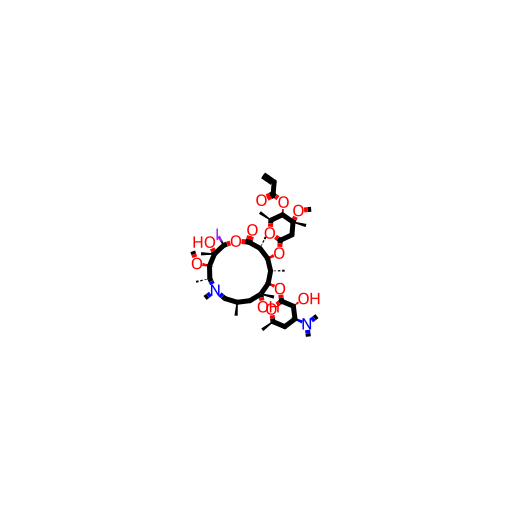 C=CC(=O)O[C@H]1[C@H](C)OC(O[C@H]2[C@H](C)[C@@H](OC3O[C@H](C)C[C@H](N(C)C)[C@H]3O)[C@](C)(O)C[C@@H](C)CN(C)[C@H](C)[C@@H](OC)[C@](C)(O)[C@@H](I)OC(=O)[C@@H]2C)C[C@@]1(C)OC